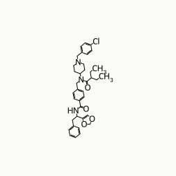 CCC(CC)C(=O)N(Cc1ccc(C(=O)NC(Cc2ccccc2)C2=COCO2)cc1)C1CCN(Cc2ccc(Cl)cc2)CC1